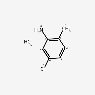 Cc1ccc(Cl)cc1N.Cl